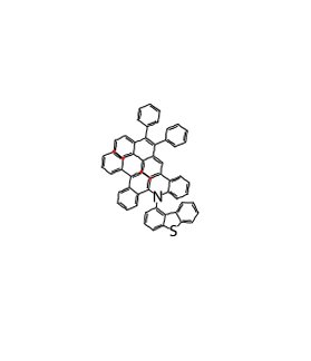 c1ccc(-c2ccc(N(c3ccccc3-c3ccc4c(c3)c(-c3ccccc3)c(-c3ccccc3)c3ccccc34)c3cccc4sc5ccccc5c34)c3ccccc23)cc1